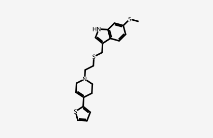 CSc1ccc2c(CSCCN3CC=C(c4cccs4)CC3)c[nH]c2c1